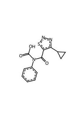 O=C(O)N(C(=O)c1snnc1C1CC1)c1ccccc1